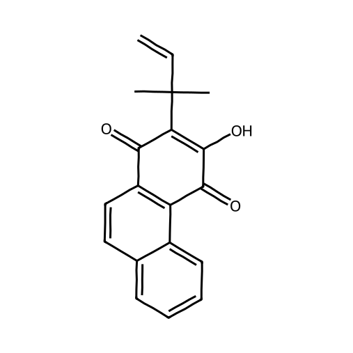 C=CC(C)(C)C1=C(O)C(=O)c2c(ccc3ccccc23)C1=O